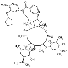 COc1ccc(N(CCS[C@@H]2C(=O)O[C@@]3(C)[C@H]2[C@@H](C)C(=O)[C@H](C)C[C@@](C)(OC)[C@H](O[C@@H]2O[C@H](C)C[C@H](N(C)C)[C@H]2O)[C@@H](C)[C@H](O[C@H]2C[C@@](C)(OC)[C@@H](O)[C@H](C)O2)[C@@H](C)C(=O)O[C@@H]3I)C(=O)c2ccncc2)cc1OC1CCCC1